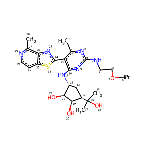 Cc1nc(NCCOC(C)C)nc(N[C@@H]2C[C@H](C(C)(C)O)[C@@H](O)[C@H]2O)c1-c1nc2c(C)nccc2s1